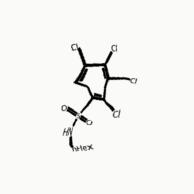 CCCCCCNS(=O)(=O)c1cc(Cl)c(Cl)c(Cl)c1Cl